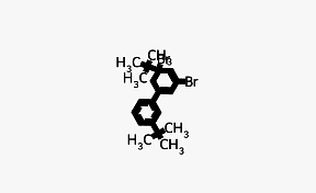 CC(C)(C)c1cccc(C2=CC(Br)=CC(Br)(C(C)(C)C)C2)c1